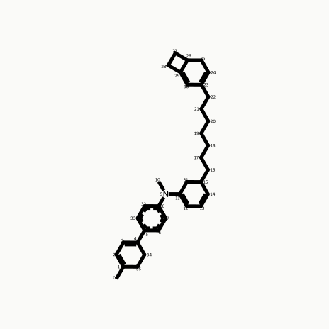 CC1=CC=C(c2ccc(N(C)C3=CC=CC(CCCCCCCC4=CCC5CCC5=C4)C3)cc2)CC1